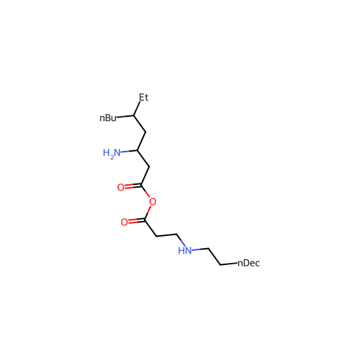 CCCCCCCCCCCCNCCC(=O)OC(=O)CC(N)CC(CC)CCCC